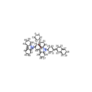 c1ccc(-c2ccc(N(c3ccc(-c4ccc5ccccc5c4)cc3)c3ccccc3-c3cccc(-n4c5ccccc5c5ccccc54)c3)cc2)cc1